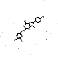 Cn1c(-c2ccc(Cl)cc2)nc2c(=O)[nH]c(SCc3ccc(Cl)c(Cl)c3)nc21